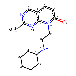 CSc1ncc2ccc(=O)n(CCNC3CCCCC3)c2n1